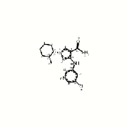 C[C@H]1CCCC[C@@H]1n1cc(C(N)=O)c(Nc2cncc(Cl)c2)n1